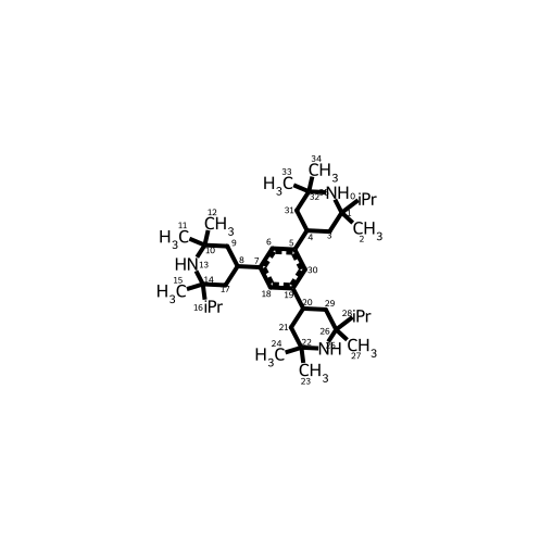 CC(C)C1(C)CC(c2cc(C3CC(C)(C)NC(C)(C(C)C)C3)cc(C3CC(C)(C)NC(C)(C(C)C)C3)c2)CC(C)(C)N1